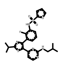 CC(C)CNc1nccc(-c2sc(C(C)C)nc2-c2cccc(NS(=O)(=O)c3ccco3)c2F)n1